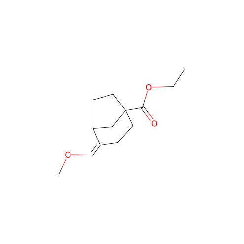 CCOC(=O)C12CCC(=COC)C(CC1)C2